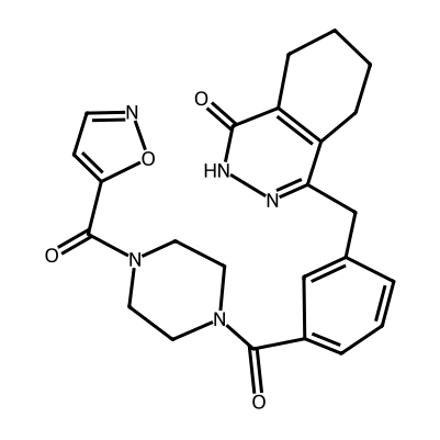 O=C(c1cccc(Cc2n[nH]c(=O)c3c2CCCC3)c1)N1CCN(C(=O)c2ccno2)CC1